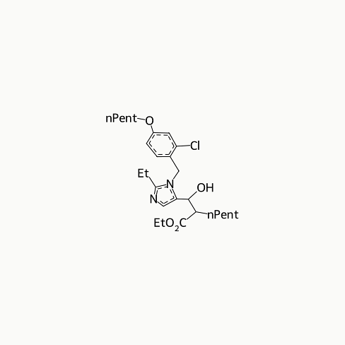 CCCCCOc1ccc(Cn2c(C(O)C(CCCCC)C(=O)OCC)cnc2CC)c(Cl)c1